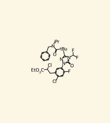 CC(C)N(Cc1ccccc1)C(=O)C(C)(C)C.CCOC(=O)C(Cl)Cc1cc(-n2nc(C)n(C(F)F)c2=O)c(F)cc1Cl